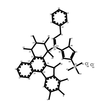 Cc1cc2c(c(C)c1C)C(C)c1c3c(c4ccccc4c1-2)C(C)C(C)C(C)[C]3(C)[Zr+2](=[CH]Cc1ccccc1)[C]1=CC([Si](C)(C)C)=CC1C.[Cl-].[Cl-]